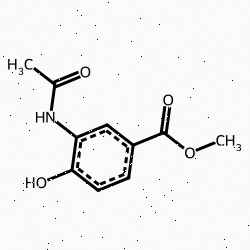 COC(=O)c1ccc(O)c(NC(C)=O)c1